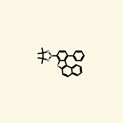 CC1(C)OB(c2ccc(-c3ccccc3)c3c2sc2ccc4ccccc4c23)OC1(C)C